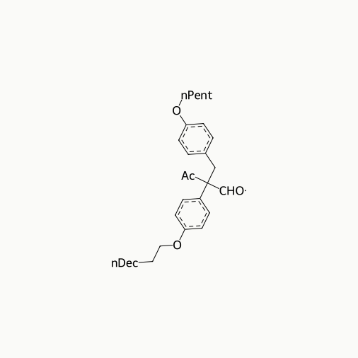 CCCCCCCCCCCCOc1ccc(C([C]=O)(Cc2ccc(OCCCCC)cc2)C(C)=O)cc1